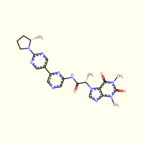 C[C@H]1CCCN1c1ncc(-c2cncc(NC(=O)[C@H](C)n3cnc4c3c(=O)n(C)c(=O)n4C)n2)cn1